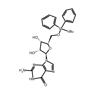 CCCC[Si](OC[C@H]1O[C@@H](n2cnc3c(=O)[nH]c(N)nc32)[C@H](O)[C@@H]1O)(c1ccccc1)c1ccccc1